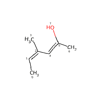 C/C=C(C)\C=C(\C)O